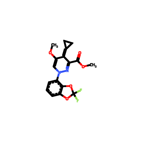 COC(=O)C1=NN(c2cccc3c2OC(F)(F)O3)C=C(OC)C1=C1CC1